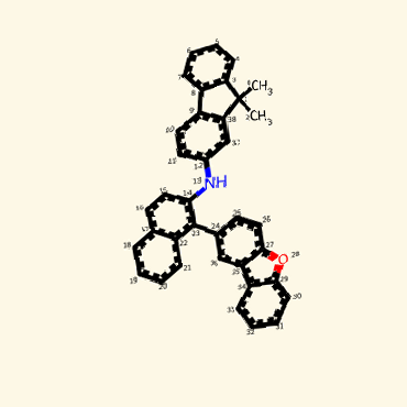 CC1(C)c2ccccc2-c2ccc(Nc3ccc4ccccc4c3-c3ccc4oc5ccccc5c4c3)cc21